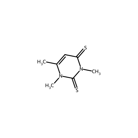 Cc1cc(=S)n(C)c(=S)n1C